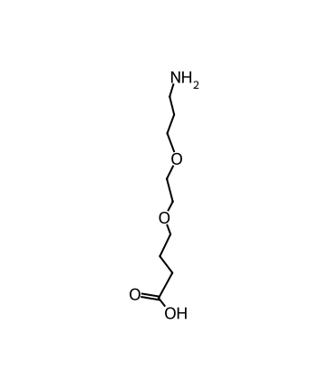 NCCCOCCOCCCC(=O)O